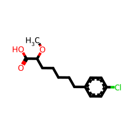 COC(CCCCCc1ccc(Cl)cc1)C(=O)O